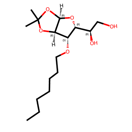 CCCCCCCO[C@@H]1[C@H]2OC(C)(C)O[C@H]2O[C@@H]1[C@H](O)CO